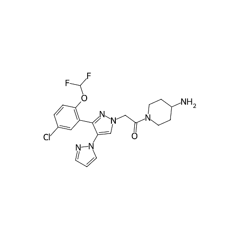 NC1CCN(C(=O)Cn2cc(-n3cccn3)c(-c3cc(Cl)ccc3OC(F)F)n2)CC1